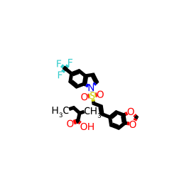 CCC(C)C(=O)O.O=S(=O)(CC=Cc1ccc2c(c1)OCO2)n1ccc2cc(C(F)(F)F)ccc21